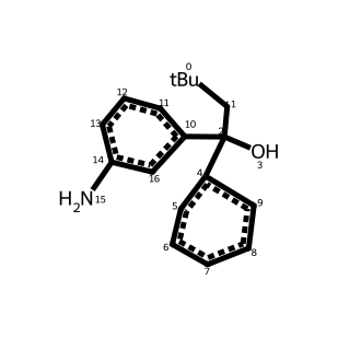 CC(C)(C)[CH]C(O)(c1ccccc1)c1cccc(N)c1